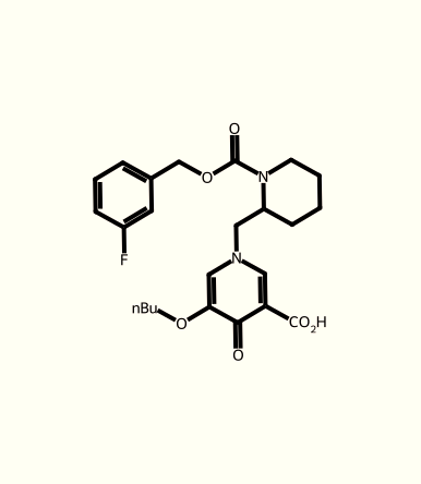 CCCCOc1cn(CC2CCCCN2C(=O)OCc2cccc(F)c2)cc(C(=O)O)c1=O